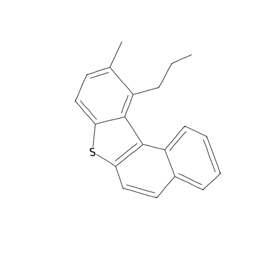 CCCc1c(C)ccc2sc3ccc4ccccc4c3c12